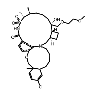 COCCOC[C@]1(O)CCC[C@H](C)[C@@H](C)S(=O)(=O)NC(=O)c2ccc3c(c2)N(CCCCC2C=C(Cl)C=CC2(C)CO3)C[C@@H]2CC[C@H]21